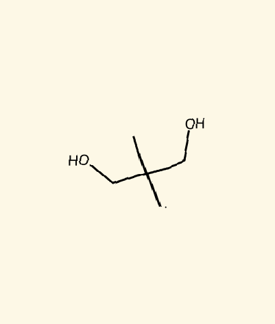 [CH2]C(C)(CO)CO